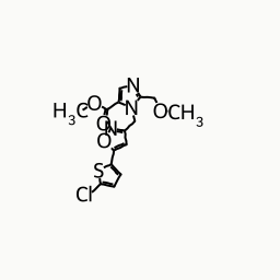 COCc1ncc(C(=O)OC)n1Cc1cc(-c2ccc(Cl)s2)on1